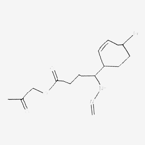 C=NNC(CCC(=O)OCC(C)=O)C1C=CC(Br)CC1